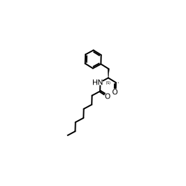 CCCCCCCC(=O)N[C@H]([C]=O)Cc1ccccc1